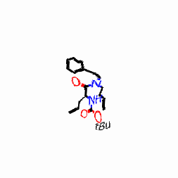 C=CCCN(Cc1ccccc1)C(=O)[C@H](CC=C)NC(=O)OC(C)(C)C